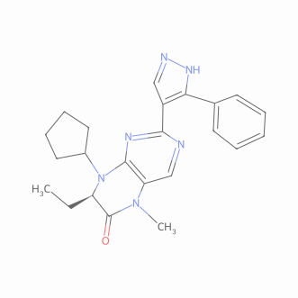 CC[C@@H]1C(=O)N(C)c2cnc(-c3cn[nH]c3-c3ccccc3)nc2N1C1CCCC1